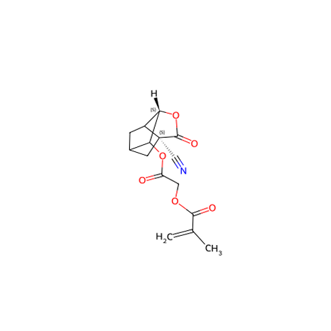 C=C(C)C(=O)OCC(=O)OC1C2CC3[C@@H]1OC(=O)[C@@]3(C#N)C2